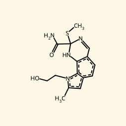 CSC1(C(N)=O)N=Cc2ccc3cc(C)n(CCO)c3c2N1